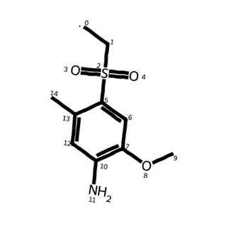 [CH2]CS(=O)(=O)c1cc(OC)c(N)cc1C